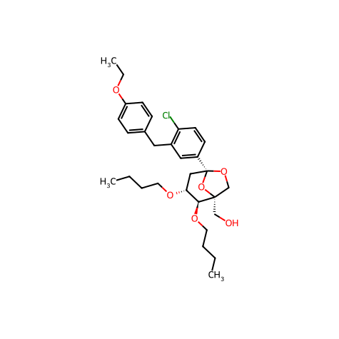 CCCCO[C@@H]1C[C@@]2(c3ccc(Cl)c(Cc4ccc(OCC)cc4)c3)OC[C@](CO)(O2)[C@H]1OCCCC